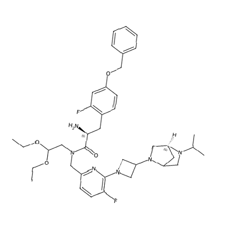 CCOC(CN(Cc1ccc(F)c(N2CC(N3C[C@@H]4CC3CN4C(C)C)C2)n1)C(=O)[C@@H](N)Cc1ccc(OCc2ccccc2)cc1F)OCC